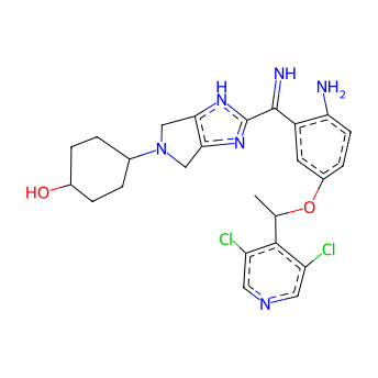 CC(Oc1ccc(N)c(C(=N)c2nc3c([nH]2)CN(C2CCC(O)CC2)C3)c1)c1c(Cl)cncc1Cl